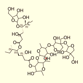 CC[C@H](C)[C@H](C[C@H](O)CC(=O)OC1C(O)C(C)OC(C(C)C)C1OC1OC(C)C(OC2OCCC(CO)(OC3OCC(O)(CO)C3O)C2O)C(O)C1O)OC(=O)C[C@@H](O)C[C@H](OC1OC(CO)C(O)C1O)[C@@H](C)CC